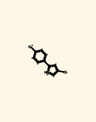 Clc1ccc(-c2cc(Cl)c[nH]2)cc1